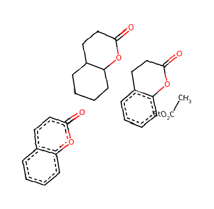 CCOC(C)=O.O=C1CCC2CCCCC2O1.O=C1CCc2ccccc2O1.O=c1ccc2ccccc2o1